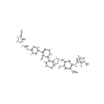 COc1nc(O[C@H]2CCc3c(-c4cccc(-c5ccc(CNC[C@@H]6CCC(=O)N6)cc5)c4Cl)cccc32)c(Cl)cc1CN[C@@](C)(CO)C(=O)O